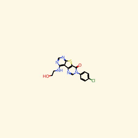 O=c1c2sc3ncnc(NCCO)c3c2ncn1-c1ccc(Cl)cc1